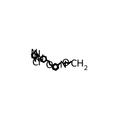 C=CCON=Cc1cccc(OCC2CCN(c3nnccc3Cl)CC2)c1